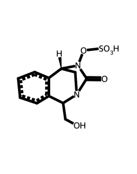 O=C1N2C[C@H](c3ccccc3C2CO)N1OS(=O)(=O)O